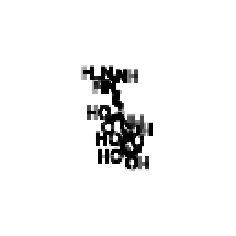 N=C(N)NCCC[C@H](NC[C@]1(O)OC[C@@H](O)[C@@H](O)[C@@H]1O)C(=O)O